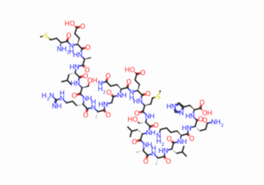 CSCC[C@H](NC(=O)[C@H](CCC(=O)O)NC(=O)[C@H](CCC(N)=O)NC(=O)CNC(=O)[C@H](C)NC(=O)[C@H](CCCNC(=N)N)NC(=O)[C@H](CO)NC(=O)[C@H](CC(C)C)NC(=O)[C@H](C)NC(=O)[C@H](CCC(=O)O)NC(=O)[C@@H](N)CCSC)C(=O)N[C@@H](CO)C(=O)N[C@@H](CC(C)C)C(=O)N[C@@H](C)C(=O)N[C@@H](C)C(=O)N[C@@H](CC(C)C)C(=O)N[C@@H](CCCCN)C(=O)N[C@@H](CCC(N)=O)C(=O)N[C@@H](Cc1c[nH]cn1)C(=O)O